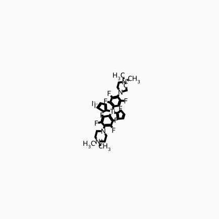 C[N+]1(C)CCN(c2c(F)c(F)[c]([Ti]([C]3=CC=CC3)([C]3=CC=CC3)[c]3c(F)c(F)c(N4CC[N+](C)(C)CC4)c(F)c3F)c(F)c2F)CC1.[I-].[I-]